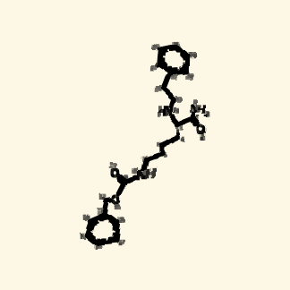 NC(=O)[C@H](CCCCNC(=O)OCc1ccccc1)NCCc1ccccc1